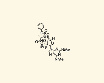 CNc1nc(NC)c2ncn([C@@H]3O[C@@H]4C(O[P@@](=O)(N[C@@H](C)C(=O)OC(C)C)Oc5ccccc5)[C@]4(O)[C@@]3(C)F)c2n1